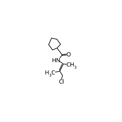 C/C(CCl)=C(/C)NC(=O)C1CCCCC1